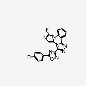 Fc1ccc(-c2nc(-c3nnc4c5ccccc5n5c(F)ncc5n34)no2)cc1